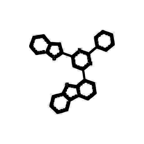 c1ccc(-c2nc(-c3cc4ccccc4o3)cc(-c3cccc4c3oc3ccccc34)n2)cc1